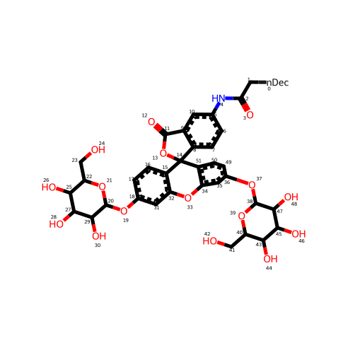 CCCCCCCCCCCC(=O)Nc1ccc2c(c1)C(=O)OC21c2ccc(OC3OC(CO)C(O)C(O)C3O)cc2Oc2cc(OC3OC(CO)C(O)C(O)C3O)ccc21